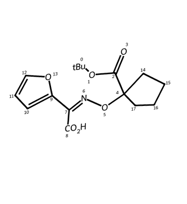 CC(C)(C)OC(=O)C1(ON=C(C(=O)O)c2ccco2)CCCC1